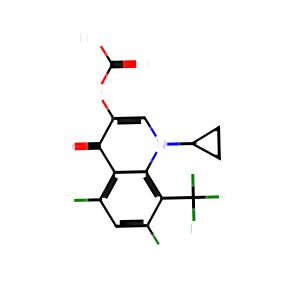 O=C(O)Oc1cn(C2CC2)c2c(C(F)(F)F)c(F)cc(F)c2c1=O